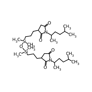 CC(C)CCC(C)N1C(=O)CC(CCC[Si](C)(C)O[Si](C)(C)CCCC2CC(=O)N(C(C)CCC(C)C)C2=O)C1=O